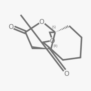 O=C1C[C@]23CCCC[C@]2(COC3=O)O1